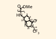 COC(=O)C(C)(C)Nc1ccc2c(=O)n(CC(F)(F)F)cnc2c1